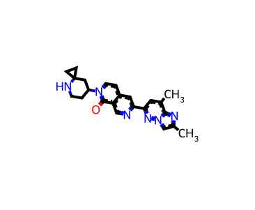 Cc1cn2nc(-c3cc4ccn(C5CCNC6(CC6)C5)c(=O)c4cn3)cc(C)c2n1